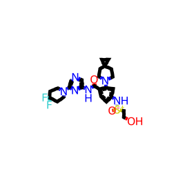 O=C(Nc1cncc(N2CCC(F)(F)CC2)n1)c1ccc(N[S+]([O-])CCO)cc1N1CCC2(CC1)CC2